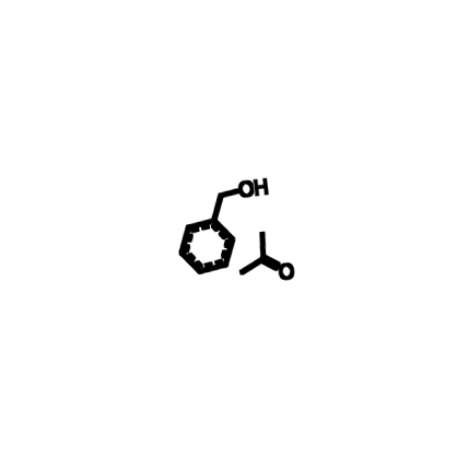 CC(C)=O.OCc1ccccc1